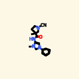 CN1CN(c2ccccc2)C=C1NC(=O)C1(C)CCN(C#N)C1